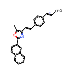 Cc1oc(-c2ccc3ccccc3c2)nc1C=Cc1ccc(/C=C/C=O)cc1